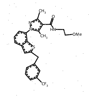 COCCNC(=O)c1c(C)nn(-c2cccc3cc(Cc4cccc(C(F)(F)F)c4)sc23)c1C